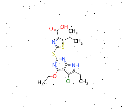 CCOc1nc(Sc2nc(C(=O)O)c(C(C)C)s2)nc2[nH]c(CC)c(Cl)c12